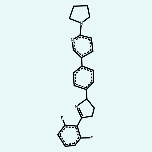 Fc1cccc(F)c1C1=NC(c2ccc(-c3ccc(N4CCCC4)nc3)cc2)CC1